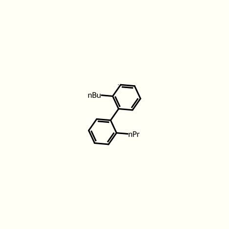 CCCCc1[c]cccc1-c1ccccc1CCC